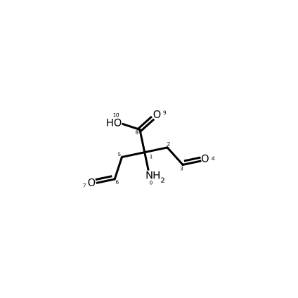 NC(CC=O)(CC=O)C(=O)O